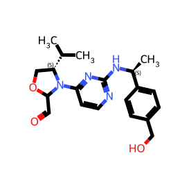 CC(C)[C@H]1COC(C=O)N1c1ccnc(N[C@@H](C)c2ccc(CO)cc2)n1